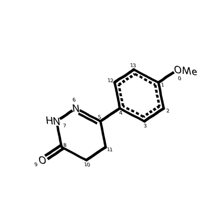 COc1ccc(C2=NNC(=O)CC2)cc1